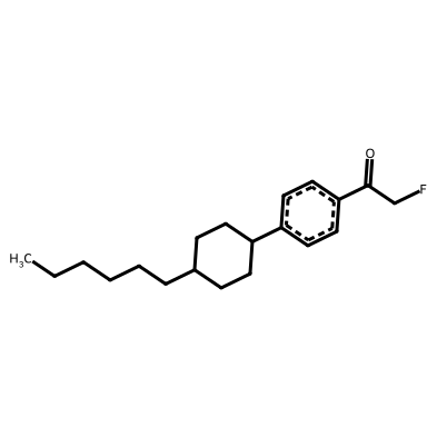 CCCCCCC1CCC(c2ccc(C(=O)CF)cc2)CC1